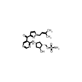 CC(C)=CCn1ccc(C(=O)c2cncnc2N[C@@H]2C[C@H](COS(N)(=O)=O)[C@@H](O)C2)n1